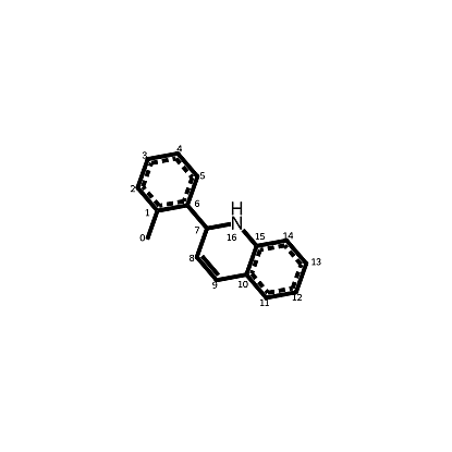 Cc1ccccc1C1C=Cc2ccccc2N1